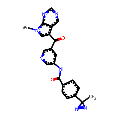 CC(C)n1cc(C(=O)c2cncc(NC(=O)c3ccc(C4(C(F)(F)F)N=N4)cc3)c2)c2cncnc21